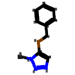 CCn1nncc1SCc1ccccc1